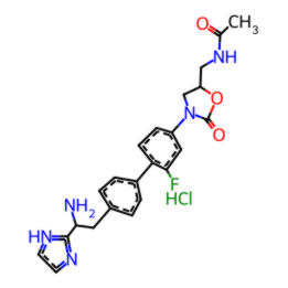 CC(=O)NCC1CN(c2ccc(-c3ccc(CC(N)c4ncc[nH]4)cc3)c(F)c2)C(=O)O1.Cl